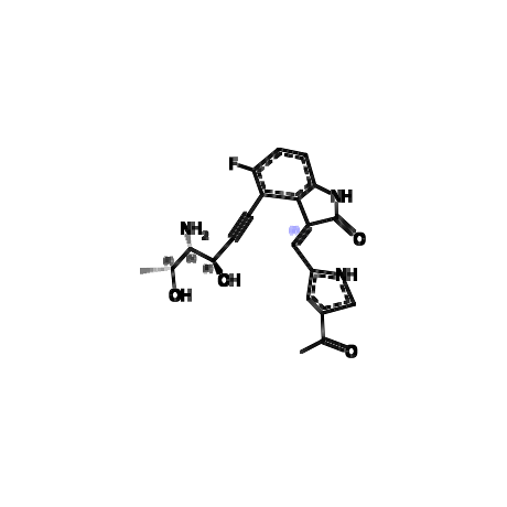 CC(=O)c1c[nH]c(/C=C2\C(=O)Nc3ccc(F)c(C#C[C@@H](O)[C@@H](N)[C@@H](C)O)c32)c1